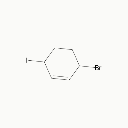 BrC1C=CC(I)CC1